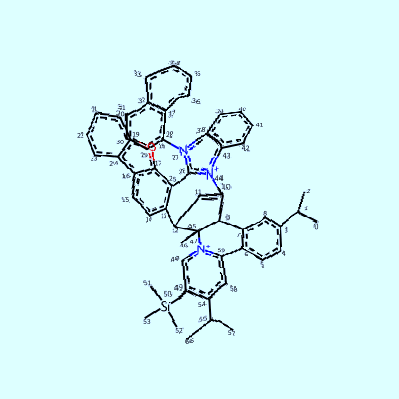 CC(C)c1ccc2c(c1)C1C3=CC(c4ccc5c(oc6ccccc65)c4-c4n(-c5cccc6ccccc56)c5ccccc5[n+]43)C1(C)[n+]1cc([Si](C)(C)C)c(C(C)C)cc1-2